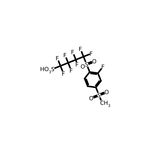 CS(=O)(=O)c1ccc(S(=O)(=O)C(F)(F)C(F)(F)C(F)(F)C(F)(F)S(=O)(=O)O)c(F)c1